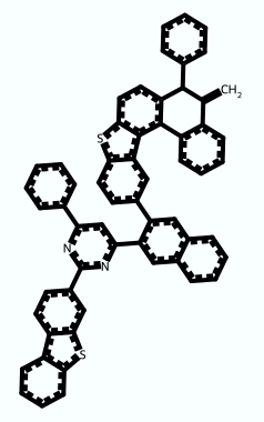 C=C1c2ccccc2-c2c(ccc3sc4ccc(-c5cc6ccccc6cc5-c5cc(-c6ccccc6)nc(-c6ccc7c(c6)sc6ccccc67)n5)cc4c23)C1c1ccccc1